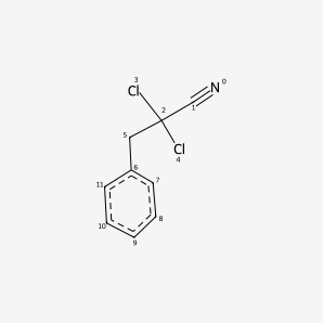 N#CC(Cl)(Cl)Cc1ccccc1